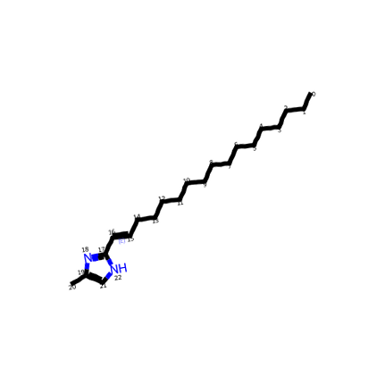 CCCCCCCCCCCCCCC/C=C/c1nc(C)c[nH]1